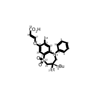 CCCC[C@]1(CC)CN(c2ccccc2)c2cc(I)c(O/C=C/C(=O)O)cc2S(=O)(=O)C1